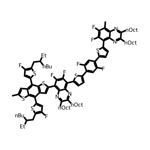 CCCCCCCCc1nc2c(C)c(F)c(F)c(-c3ccc(-c4cc(F)c(-c5ccc(-c6c(F)c(F)c(-c7cc8c(-c9cc(F)c(CC(CC)CCCC)s9)c9sc(C)cc9c(-c9cc(F)c(CC(CC)CCCC)s9)c8s7)c7nc(CCCCCCCC)c(CCCCCCCC)nc67)s5)cc4F)s3)c2nc1CCCCCCCC